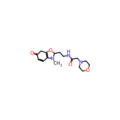 CN1C2=C(CC(=O)C=C2)OC1CCNC(=O)CN1CCOCC1